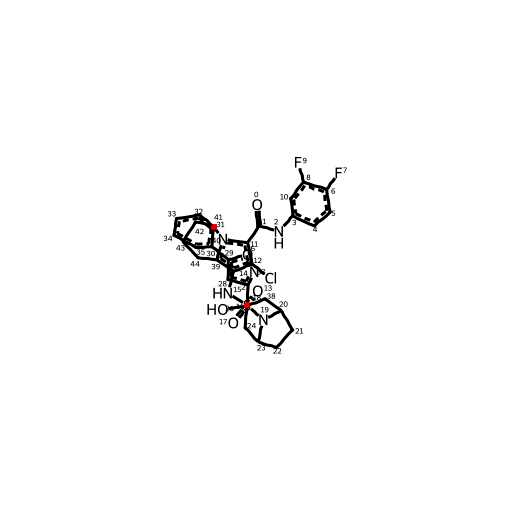 O=C(Nc1ccc(F)c(F)c1)c1c(Cl)c(NS(=O)(=O)N2C3CCC2CC(O)(c2cc(-c4ccccc4)on2)C3)c2n1CCCC2